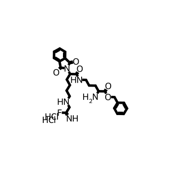 Cl.Cl.N=C(F)CNCCCCC(C(=O)NCCCC(N)C(=O)OCc1ccccc1)N1C(=O)c2ccccc2C1=O